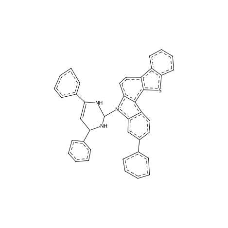 C1=C(c2ccccc2)NC(n2c3cc(-c4ccccc4)ccc3c3c4sc5ccccc5c4ccc32)NC1c1ccccc1